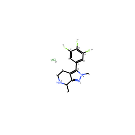 CC1NCCc2c1nn(C)c2-c1cc(F)c(F)c(F)c1.Cl